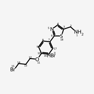 Br.NCc1cnc(-c2ccc(OCCCBr)cc2)s1